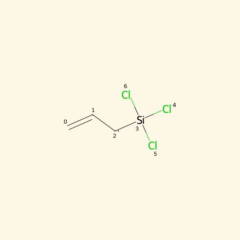 C=C[CH][Si](Cl)(Cl)Cl